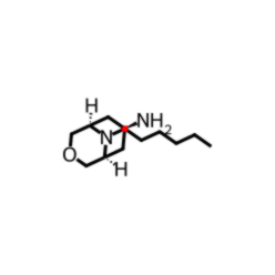 CCCCCCN1[C@@H]2COC[C@H]1C[C@@H](N)C2